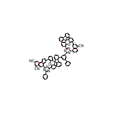 N#Cc1cc(C#N)cc(-c2ccc(-c3cccc4c3Oc3c(-c5nc(-c6ccccc6)nc(-c6ccccc6)n5)cccc3C43c4ccccc4-c4c(-c5cc(-c6ccccc6)cc(-c6nc(-c7ccccc7)nc(-c7cccc8c7Oc7c(-c9cccc(C#N)c9)cccc7C87c8ccccc8-c8ccccc87)n6)c5)cccc43)cc2)c1